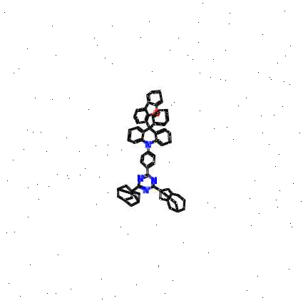 c1ccc(C2(c3cccc4c3oc3ccccc34)c3ccccc3N(c3ccc(-c4nc(C56CC7CC(CC(C7)C5)C6)nc(C56CC7CCCC(C5)C(C7)C6)n4)cc3)c3ccccc32)cc1